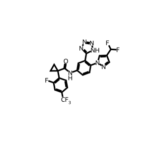 O=C(Nc1ccc(-n2cc(C(F)F)cn2)c(-c2nnn[nH]2)c1)C1(c2ccc(C(F)(F)F)cc2F)CC1